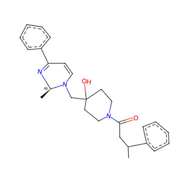 CC(CC(=O)N1CCC(O)(CN2C=CC(c3ccccc3)=N[C@@H]2C)CC1)c1ccccc1